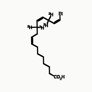 [2H]C([2H])(/C=C\CC)/C=C\C([2H])([2H])C/C=C\CCCCCCC(=O)O